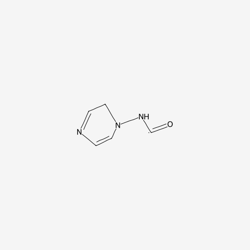 O=[C]NN1C=CN=CC1